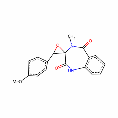 COc1ccc(C2OC23C(=O)Nc2ccccc2C(=O)N3C)cc1